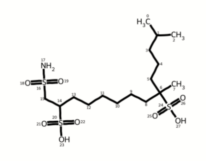 CC(C)CCCC(C)(CCCCCCC(CS(N)(=O)=O)S(=O)(=O)O)S(=O)(=O)O